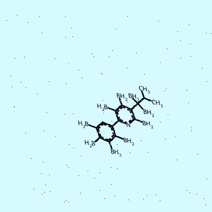 Bc1cc(-c2nc(B)c(C(B)(B)C(C)C)c(B)c2B)c(B)c(B)c1B